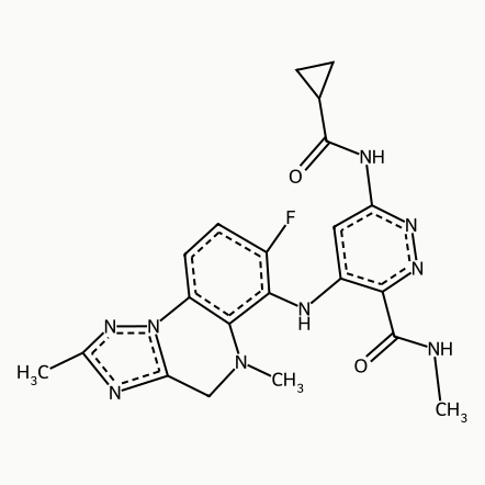 CNC(=O)c1nnc(NC(=O)C2CC2)cc1Nc1c(F)ccc2c1N(C)Cc1nc(C)nn1-2